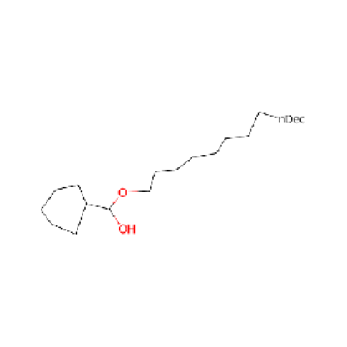 CCCCCCCCCCCCCCCCCCOC(O)C1CCCCC1